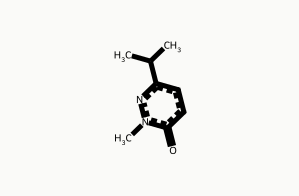 CC(C)c1ccc(=O)n(C)n1